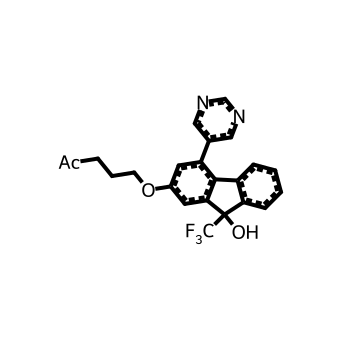 CC(=O)CCCOc1cc(-c2cncnc2)c2c(c1)C(O)(C(F)(F)F)c1ccccc1-2